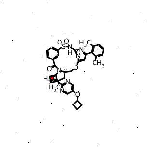 Cc1cccc(C)c1-c1cc2nc(n1)NS(=O)(=O)c1cccc(c1)C(=O)N(C13CC(C1)C3c1ncc(OC3CCC3)cn1)[C@H](CC(C)C)CO2